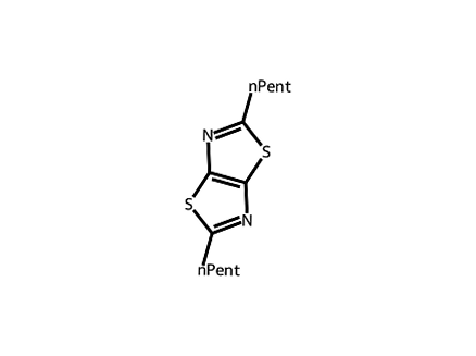 CCCCCc1nc2sc(CCCCC)nc2s1